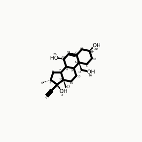 C#C[C@]1(O)[C@H](C)CC2C3C(CC[C@@]21C)[C@@]1(CO)CC[C@H](O)CC1=C[C@@H]3O